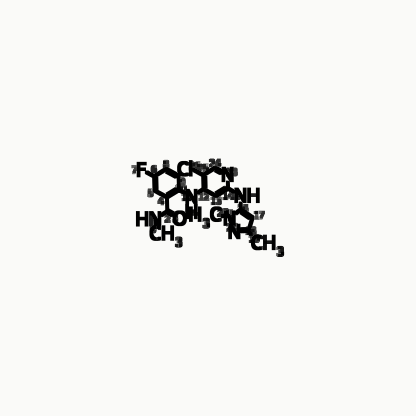 CNC(=O)c1cc(F)ccc1Nc1cc(Nc2cc(C)nn2C)ncc1Cl